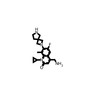 Cc1c(N2CC3(CCNC3)C2)c(F)cc2c(CN)cc(=O)n(C3CC3)c12